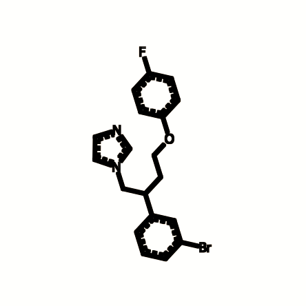 Fc1ccc(OCCC(Cn2ccnc2)c2cccc(Br)c2)cc1